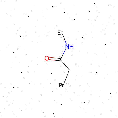 CCNC(=O)CC(C)C